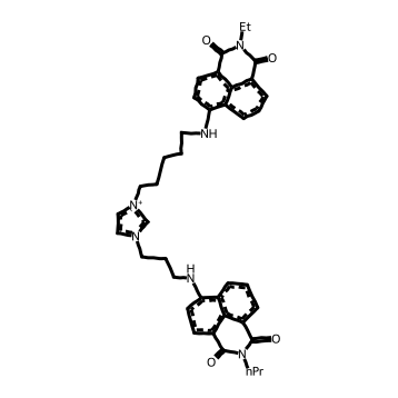 CCCN1C(=O)c2cccc3c(NCCCn4cc[n+](CCCCCNc5ccc6c7c(cccc57)C(=O)N(CC)C6=O)c4)ccc(c23)C1=O